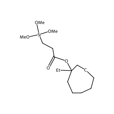 CCC1(OC(=O)CC[Si](OC)(OC)OC)CCCCCCC1